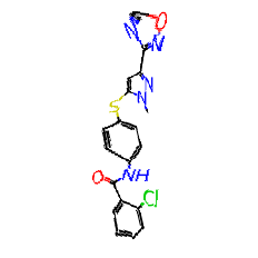 Cn1nc(-c2ncon2)cc1Sc1ccc(NC(=O)c2ccccc2Cl)cc1